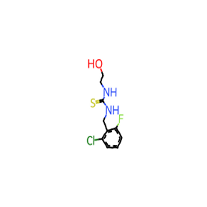 OCCNC(=S)NCc1c(F)cccc1Cl